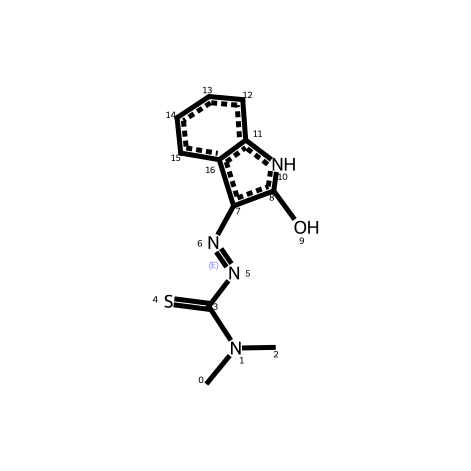 CN(C)C(=S)/N=N/c1c(O)[nH]c2ccccc12